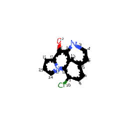 O=c1c2nccc3ccc(Cl)c(c32)n2cccc12